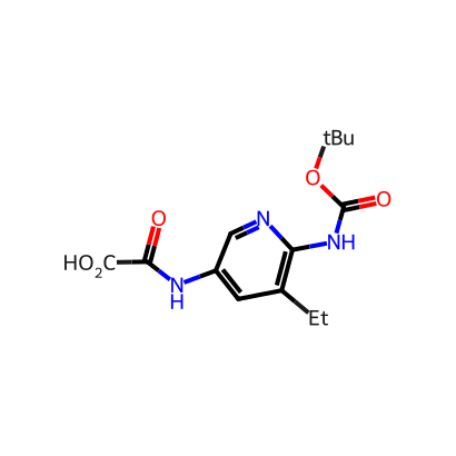 CCc1cc(NC(=O)C(=O)O)cnc1NC(=O)OC(C)(C)C